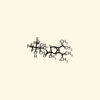 CC(C)C1C2CC(C1C(C)C)C(C)(C(=O)OC(C)(C)C(O)(C(F)(F)F)C(F)(F)F)C2